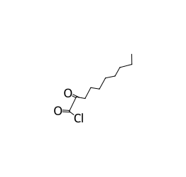 CCCCCCCCC(=O)C(=O)Cl